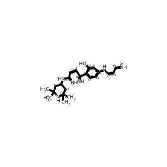 CC1(C)CC(NC(=N)/C=C\C(=N)c2ccc(N/C=C\C=N)cc2O)CC(C)(C)N1